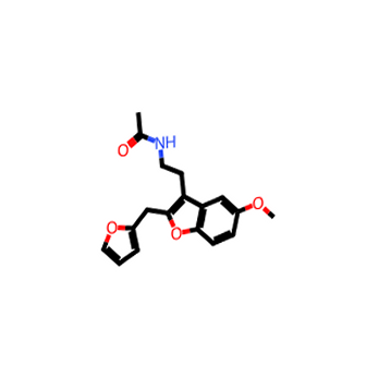 COc1ccc2oc(Cc3ccco3)c(CCNC(C)=O)c2c1